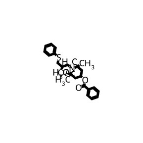 CC(=O)OC(CSc1ccccc1)CN1C(C)(C)CC(OC(=O)c2ccccc2)CC1(C)C